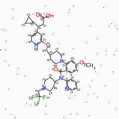 COc1ccc(C(=O)N(c2ccccn2)C2CCN(CC(F)(F)F)CC2)c(N2CCC(COC3=CC(C(CC(=O)O)C4CC4)=CCN3)CC2)c1